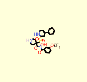 O=C(c1cccc(OC(F)(F)F)c1)N(O)C(=O)C1(CS(=O)(=O)C2CC(c3ccccc3)=CCN2)CCNCC1